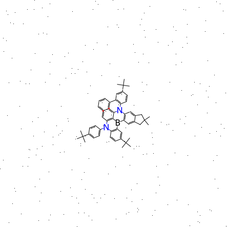 CC1(C)Cc2cc3c(cc2C1)N(c1ccc(C(C)(C)C)cc1-c1ccccc1)c1cccc2c1B3c1cc(C(C)(C)C)ccc1N2c1ccc(C(C)(C)C)cc1